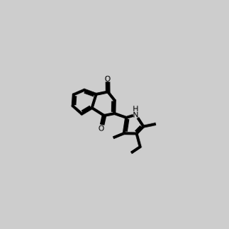 CCc1c(C)[nH]c(C2=CC(=O)c3ccccc3C2=O)c1C